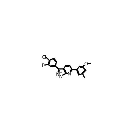 COc1cc(C)cc(-c2ccc3c(-c4ccc(Cl)c(F)c4)n[nH]c3n2)c1